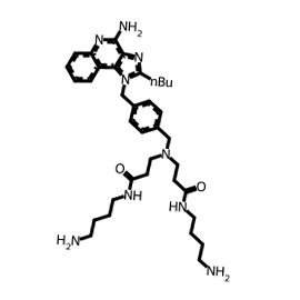 CCCCc1nc2c(N)nc3ccccc3c2n1Cc1ccc(CN(CCC(=O)NCCCCN)CCC(=O)NCCCCN)cc1